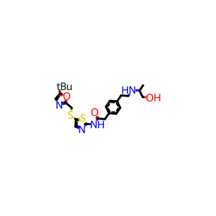 CC(CO)NCCc1ccc(CC(=O)Nc2ncc(SCc3ncc(C(C)(C)C)o3)s2)cc1